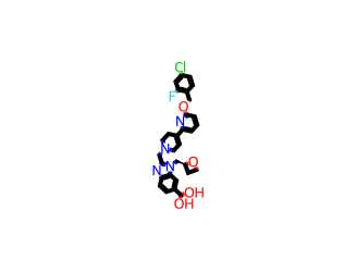 OC(O)c1ccc2nc(CN3CC=C(c4cccc(OCc5ccc(Cl)cc5F)n4)CC3)n(C[C@@H]3CCO3)c2c1